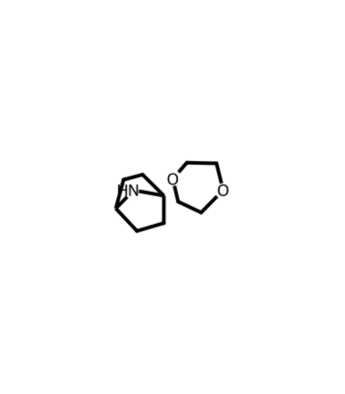 C1CC2CCC1N2.C1COCCO1